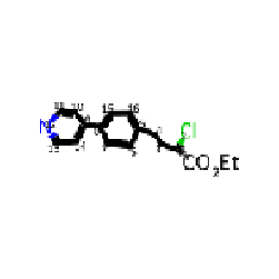 CCOC(=O)C(Cl)CCc1ccc(-c2ccncc2)cc1